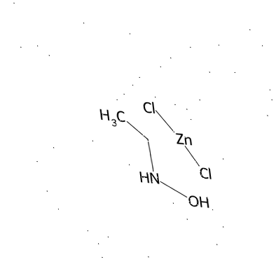 CCNO.[Cl][Zn][Cl]